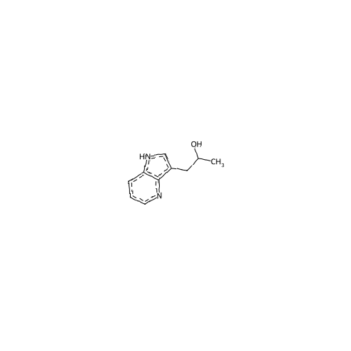 CC(O)Cc1c[nH]c2cccnc12